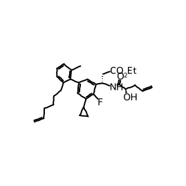 C=CCCCCc1cccc(C)c1-c1cc(C2CC2)c(F)c([C@H](CC(=O)OCC)NC(=O)[C@H](O)CC=C)c1